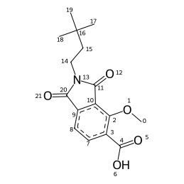 COc1c(C(=O)O)ccc2c1C(=O)N(CCC(C)(C)C)C2=O